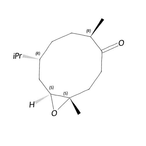 CC(C)[C@@H]1CC[C@@H](C)C(=O)CC[C@]2(C)O[C@H]2C1